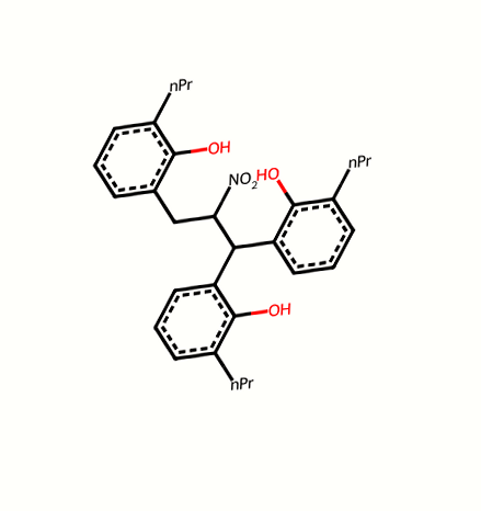 CCCc1cccc(CC(C(c2cccc(CCC)c2O)c2cccc(CCC)c2O)[N+](=O)[O-])c1O